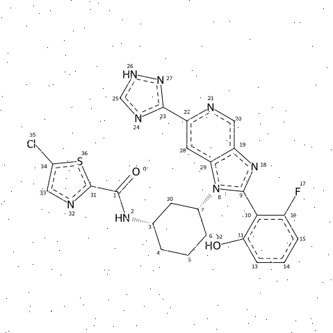 O=C(N[C@H]1CCC[C@@H](n2c(-c3c(O)cccc3F)nc3cnc(-c4nc[nH]n4)cc32)C1)c1ncc(Cl)s1